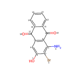 Nc1c(Br)c(O)cc2c1C(=O)c1ccccc1C2=O